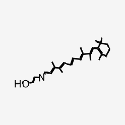 CC1=C(/C=C(C)/C(C)=C/C=C/C=C(C)/C(C)=C/C=N/CCO)C(C)(C)CCC1